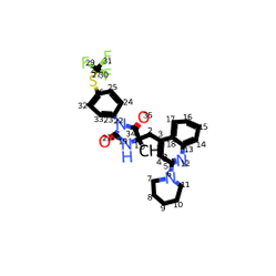 CC1(Cc2cc(N3CCCCC3)nc3ccccc23)NC(=O)N(c2ccc(SC(F)(F)F)cc2)C1=O